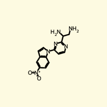 NCC(N)c1nccc(-n2ccc3cc([N+](=O)[O-])ccc32)n1